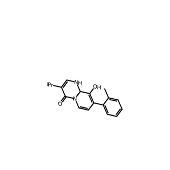 Cc1ccccc1C1=C(O)C2NC=C(C(C)C)C(=O)N2C=C1